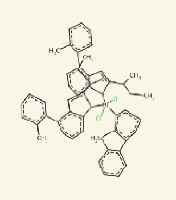 CCC(C)C1=Cc2c(-c3ccccc3C)cccc2[CH]1[Hf]([Cl])([Cl])([c]1cccc2c1[SiH2]c1ccccc1-2)[CH]1C(C(C)CC)=Cc2c(-c3ccccc3C)cccc21